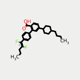 CCCCC1CCC(c2ccc(C(=O)O)c(-c3ccc(/C(F)=C(\F)CCC)cc3)c2)CC1